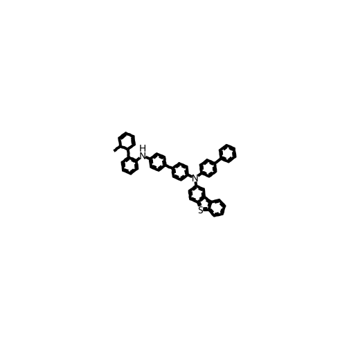 CC1C=CC=CC1c1ccccc1Nc1ccc(-c2ccc(N(c3ccc(-c4ccccc4)cc3)c3ccc4sc5ccccc5c4c3)cc2)cc1